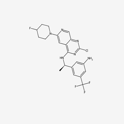 C[C@@H](Nc1nc(Cl)nc2cnc(N3CCC(F)CC3)cc12)c1cc(N)cc(C(F)(F)F)c1